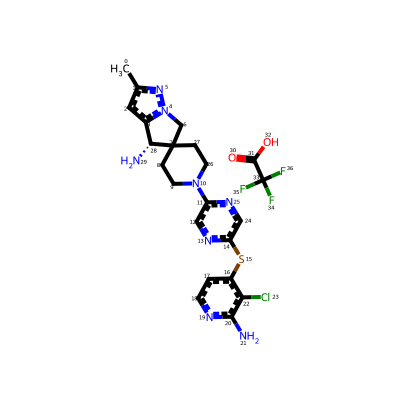 Cc1cc2n(n1)CC1(CCN(c3cnc(Sc4ccnc(N)c4Cl)cn3)CC1)[C@@H]2N.O=C(O)C(F)(F)F